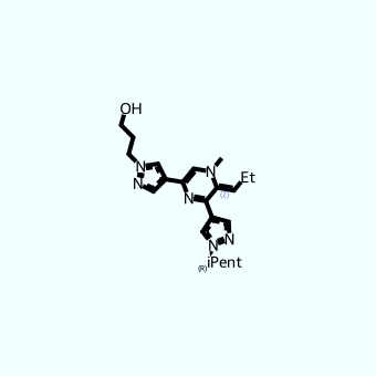 CC/C=C1/C(c2cnn([C@H](C)CCC)c2)=NC(c2cnn(CCCO)c2)=CN1C